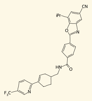 CC(C)c1cc(C#N)cc2nc(-c3ccc(C(=O)NCC4CC=C(c5ccc(C(F)(F)F)cn5)CC4)cc3)oc12